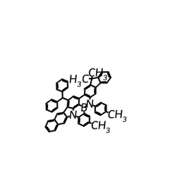 Cc1ccc(N2B3c4cc(C)ccc4-n4c5cc6ccccc6cc5c5c(C(c6ccccc6)c6ccccc6)cc(c3c54)-c3cc4c(cc32)-c2ccccc2C4(C)C)cc1